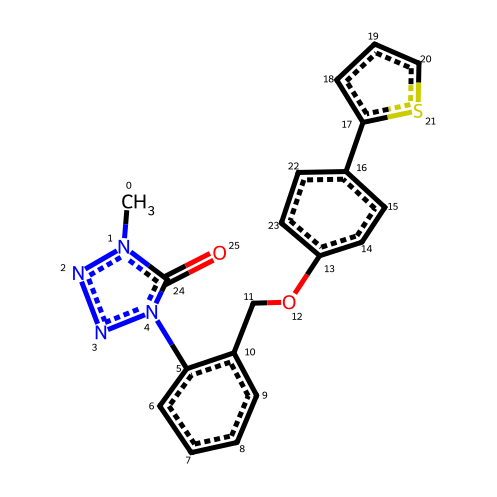 Cn1nnn(-c2ccccc2COc2ccc(-c3cccs3)cc2)c1=O